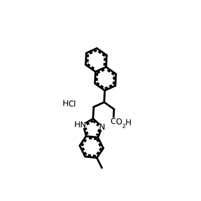 Cc1ccc2[nH]c(CC(CC(=O)O)c3ccc4ccccc4c3)nc2c1.Cl